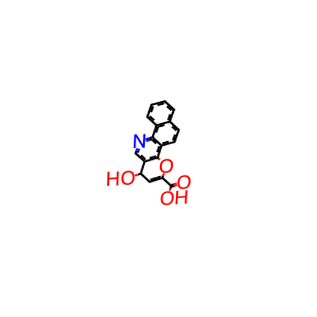 O=C(O)C1=CC(O)c2cnc3c(ccc4ccccc43)c2O1